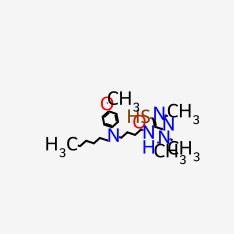 CCCCCCN(CCCC(=O)Nc1c(S)nc(C)nc1N(CC)CC)c1ccc(OC)cc1